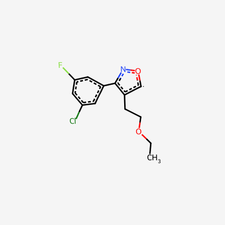 CCOCCc1[c]onc1-c1cc(F)cc(Cl)c1